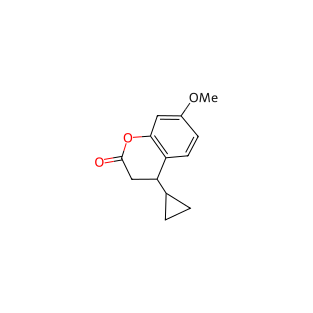 COc1ccc2c(c1)OC(=O)CC2C1CC1